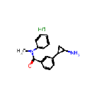 CN(C(=O)c1cccc(C2CC2N)c1)c1ccccc1.Cl